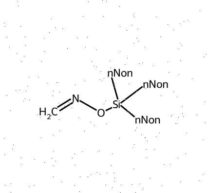 C=NO[Si](CCCCCCCCC)(CCCCCCCCC)CCCCCCCCC